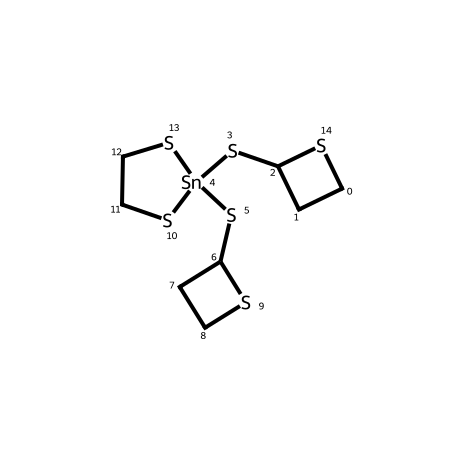 C1CC([S][Sn]2([S]C3CCS3)[S]CC[S]2)S1